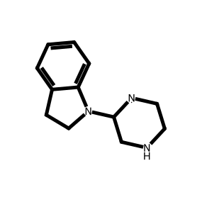 c1ccc2c(c1)CCN2C1CNCC[N]1